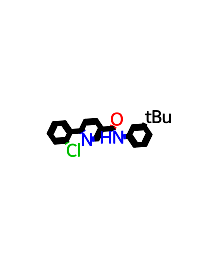 CC(C)(C)c1cccc(NC(=O)c2ccc(-c3ccccc3Cl)nc2)c1